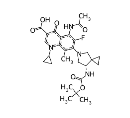 CC(=O)Nc1c(F)c(N2C[C@@H](NC(=O)OC(C)(C)C)C3(CC3)C2)c(C)c2c1c(=O)c(C(=O)O)cn2C1CC1